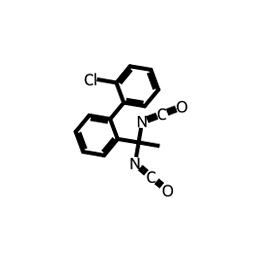 CC(N=C=O)(N=C=O)c1ccccc1-c1ccccc1Cl